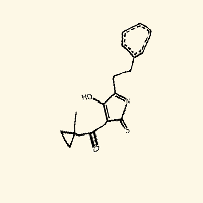 CC1(C(=O)C2=C(O)C(CCc3ccccc3)=NC2=O)CC1